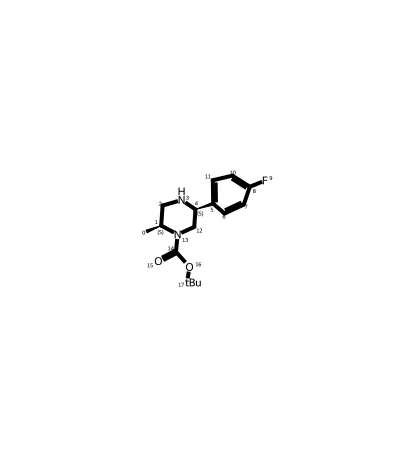 C[C@H]1CN[C@@H](c2ccc(F)cc2)CN1C(=O)OC(C)(C)C